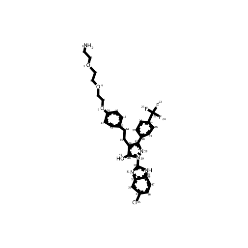 NCCOCCOCCOc1ccc(CCc2c(-c3ccc(C(F)(F)F)cc3)nn(-c3nc4cc(Cl)ccc4[nH]3)c2O)cc1